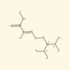 COC(=O)C(C)=CCCN(C(C)C)C(C)C